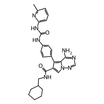 Cc1cccc(NC(=O)Nc2ccc(-c3c(C(=O)NCC4CCCCC4)cn4ncnc(N)c34)cc2)n1